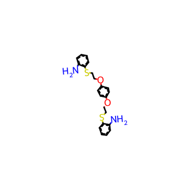 Nc1ccccc1SCCOc1ccc(OCCSc2ccccc2N)cc1